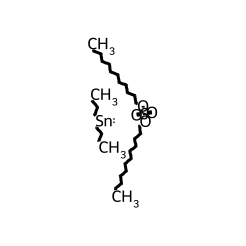 CCCCCCCCCCCCOS(=O)(=O)OCCCCCCCCCCCC.CCC[CH2][Sn][CH2]CCC